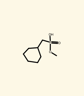 COP(=O)(O)CC1CCCCC1